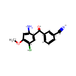 COc1cc(N)c(C(=O)c2cccc(C#N)c2)cc1Br